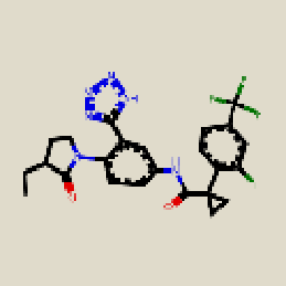 CCC1CCN(c2ccc(NC(=O)C3(c4ccc(C(F)(F)F)cc4F)CC3)cc2-c2nnn[nH]2)C1=O